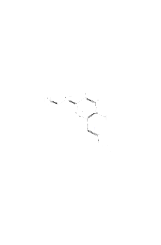 CCOC(=O)/C=C/c1[nH]/c(=N\C=N)ccc1I